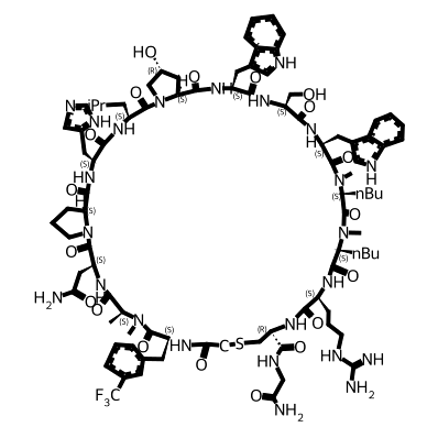 CCCC[C@H]1C(=O)N(C)[C@@H](CCCC)C(=O)N[C@@H](CCCNC(=N)N)C(=O)N[C@H](C(=O)NCC(N)=O)CSCC(=O)N[C@@H](Cc2cccc(C(F)(F)F)c2)C(=O)N(C)[C@@H](C)C(=O)N[C@@H](CC(N)=O)C(=O)N2CCC[C@H]2C(=O)N[C@@H](Cc2cnc[nH]2)C(=O)N[C@@H](CC(C)C)C(=O)N2C[C@H](O)C[C@H]2C(=O)N[C@@H](Cc2c[nH]c3ccccc23)C(=O)N[C@@H](CO)C(=O)N[C@@H](Cc2c[nH]c3ccccc23)C(=O)N1C